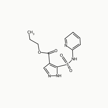 CCCOC(=O)c1cn[nH]c1S(=O)(=O)Nc1ccccn1